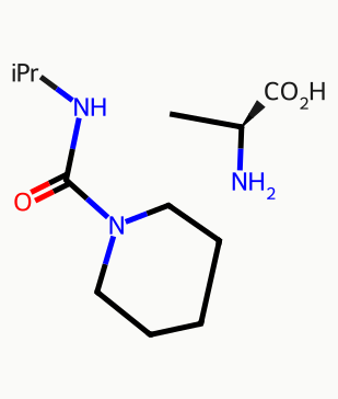 CC(C)NC(=O)N1CCCCC1.C[C@H](N)C(=O)O